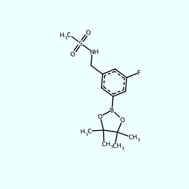 CC1(C)OB(c2cc(F)cc(CNS(C)(=O)=O)c2)OC1(C)C